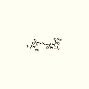 COC(=O)C(C)OS(=O)(=O)CCCCCS(=O)(=O)OC(C)C(C)=O